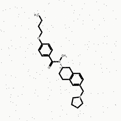 CCCCOc1ccc(C(=O)N(C)[C@H]2CCc3cc(CN4CCCC4)ccc3C2)cc1